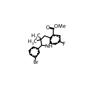 COC(=O)c1cc(F)cc2c1CC(C)(C)C(c1cccc(Br)c1)N2